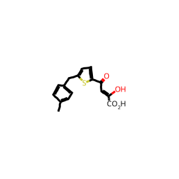 Cc1ccc(Cc2ccc(C(=O)C=C(O)C(=O)O)s2)cc1